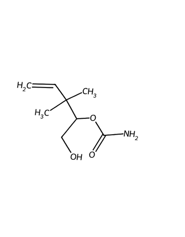 C=CC(C)(C)C(CO)OC(N)=O